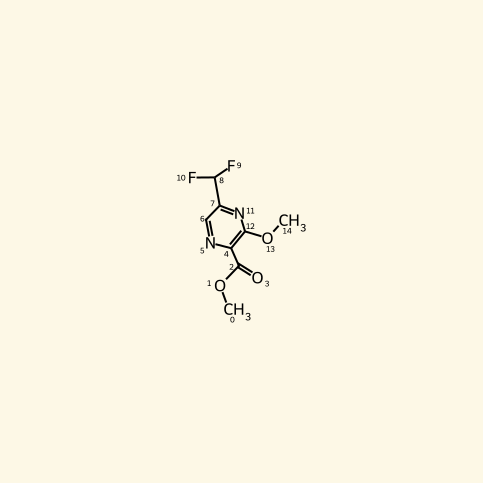 COC(=O)c1ncc(C(F)F)nc1OC